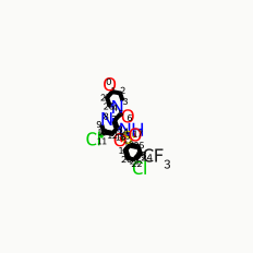 O=C1CCN(C(=O)c2ncc(Cl)cc2NS(=O)(=O)c2ccc(Cl)c(C(F)(F)F)c2)CC1